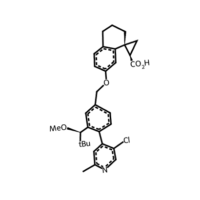 CO[C@@H](c1cc(COc2ccc3c(c2)[C@]2(CCC3)C[C@H]2C(=O)O)ccc1-c1cc(C)ncc1Cl)C(C)(C)C